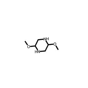 COC1CNC(OC)CN1